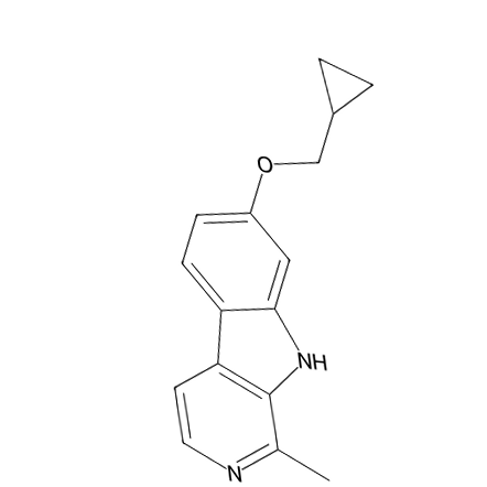 Cc1nccc2c1[nH]c1cc(OCC3CC3)ccc12